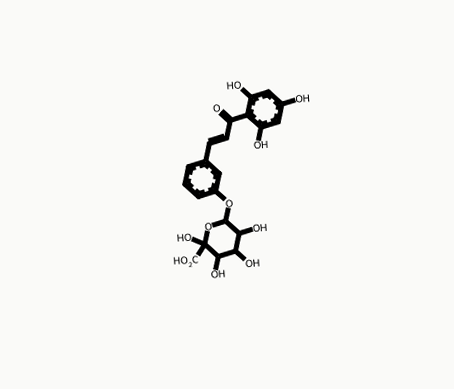 O=C(C=Cc1cccc(OC2OC(O)(C(=O)O)C(O)C(O)C2O)c1)c1c(O)cc(O)cc1O